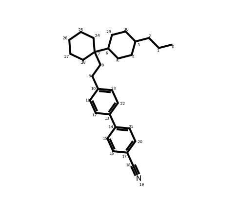 CCCC1CCC(C2(CCc3ccc(-c4ccc(C#N)cc4)cc3)CCCCC2)CC1